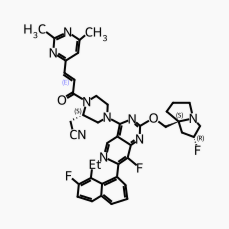 CCc1c(F)ccc2cccc(-c3ncc4c(N5CCN(C(=O)/C=C/c6cc(C)nc(C)n6)[C@@H](CC#N)C5)nc(OC[C@@]56CCCN5C[C@H](F)C6)nc4c3F)c12